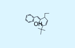 CCC1C=CC(C(C)(C)C)=CC1=Cc1ccccc1O